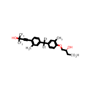 CCC(CC)(c1ccc(C#CC(O)(C(F)(F)F)C(F)(F)F)c(C)c1)c1ccc(OC[C@H](O)CC(=O)O)c(C)c1